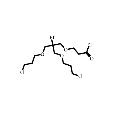 CCC(COCCCCl)(COCCCCl)COCCC(=O)Cl